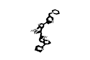 c1ccc(-c2ccnc3[nH]c(-c4n[nH]c5ncc(-c6cncc(CN7CCCCC7)c6)cc45)cc23)nc1